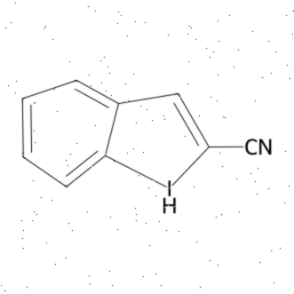 N#CC1=Cc2ccccc2[IH]1